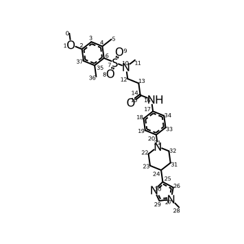 COc1cc(C)c(S(=O)(=O)N(C)CCC(=O)Nc2ccc(N3CCC(c4cn(C)cn4)CC3)cc2)c(C)c1